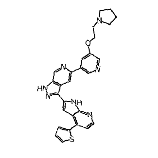 c1csc(-c2ccnc3[nH]c(-c4n[nH]c5cnc(-c6cncc(OCCN7CCCC7)c6)cc45)cc23)c1